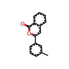 Cc1cccc(-c2cc3ccccc3c(=O)o2)c1